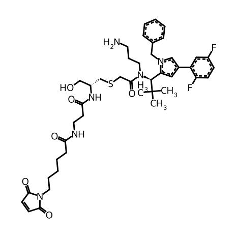 CC(C)(C)[C@H](c1cc(-c2cc(F)ccc2F)cn1Cc1ccccc1)N(CCCN)C(=O)CSC[C@@H](CO)NC(=O)CCNC(=O)CCCCCN1C(=O)C=CC1=O